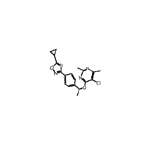 Cc1nc(C)c(Cl)c(O[C@@H](C)c2ccc(-c3noc(C4CC4)n3)cc2)n1